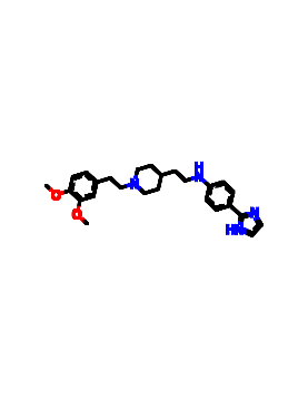 COc1ccc(CCN2CCC(CCNc3ccc(-c4ncc[nH]4)cc3)CC2)cc1OC